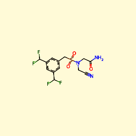 N#CCN(CC(N)=O)S(=O)(=O)Cc1cc(C(F)F)cc(C(F)F)c1